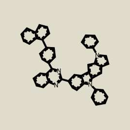 c1ccc(-n2ccc3cc4c(cc32)c2cc(-c3nc(-c5ccc(-c6cccc7ccccc67)cc5)c5ccccc5n3)ccc2n4-c2ccccc2)cc1